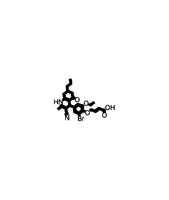 CCCC1CC(=O)C2=C(C1)NC(C)=C(C#N)C2c1cc(Br)c(OCC=CC(=O)O)c(OCC)c1